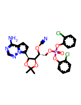 CC1(C)O[C@H]([C@@H](COP(=O)(Oc2ccccc2Cl)Oc2ccccc2Cl)OC#N)[C@H](c2ccc3c(N)ncnn23)O1